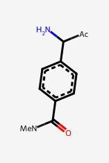 CNC(=O)c1ccc(C(N)C(C)=O)cc1